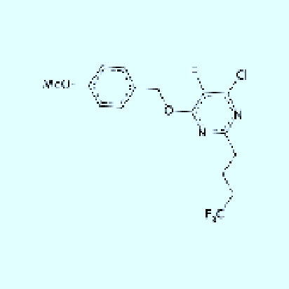 COc1ccc(COc2nc(CCCC(F)(F)F)nc(Cl)c2F)cc1